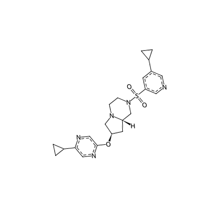 O=S(=O)(c1cncc(C2CC2)c1)N1CCN2C[C@H](Oc3cnc(C4CC4)cn3)C[C@H]2C1